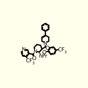 CCC[C@H]1N(C(=O)c2cnccc2C(F)(F)F)CCC[C@@]1(Oc1ccc(C(F)(F)F)cc1)C(=O)N1CC=C(c2ccccc2)CC1